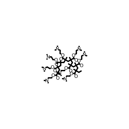 CCC(C)(CC(C)(CC(C)(CC(C)(CC(C)(CC(C)(CC(C)(CC(C)(C)C(=O)OCCN(C)C)C(=O)OCCN(C)C)C(=O)OCCN(C)C)C(=O)OCCN(C)C)C(=O)OCCN(C)C)C(=O)OCCN(C)C)C(=O)OCCN(C)C)C(=O)OCCN(C)C